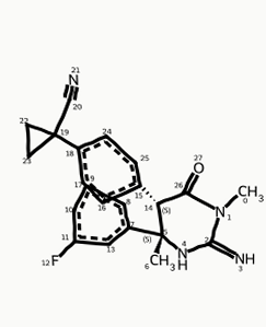 CN1C(=N)N[C@](C)(c2cccc(F)c2)[C@H](c2ccc(C3(C#N)CC3)cc2)C1=O